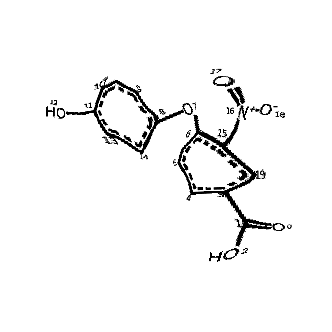 O=C(O)c1ccc(Oc2ccc(O)cc2)c([N+](=O)[O-])c1